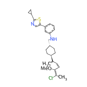 C=C(/C=C\C(OC)=C(/C)Cl)[C@H]1CC[C@H](CNc2cccc(-c3cnc(C4CC4)s3)c2)CC1